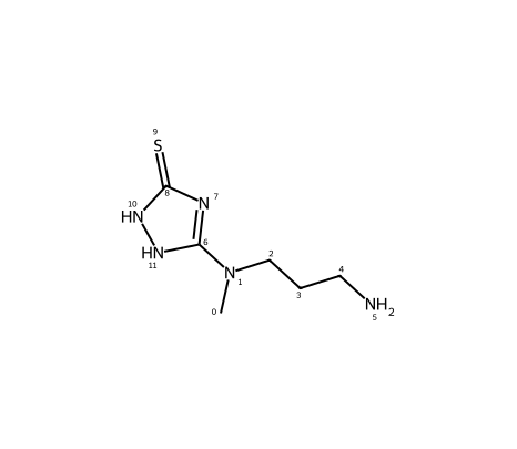 CN(CCCN)c1nc(=S)[nH][nH]1